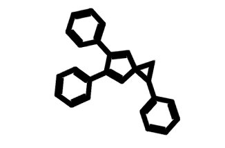 C1=C(c2ccccc2)C(c2ccccc2)=CC12CC2c1ccccc1